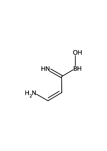 N=C(BO)/C=C\N